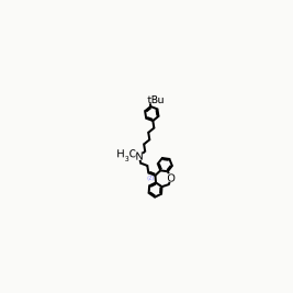 CN(CC/C=C1/c2ccccc2COc2ccccc21)CCCCCc1ccc(C(C)(C)C)cc1